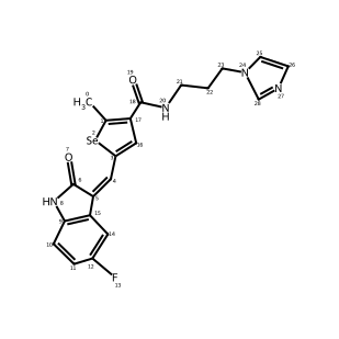 Cc1[se]c(C=C2C(=O)Nc3ccc(F)cc32)cc1C(=O)NCCCn1ccnc1